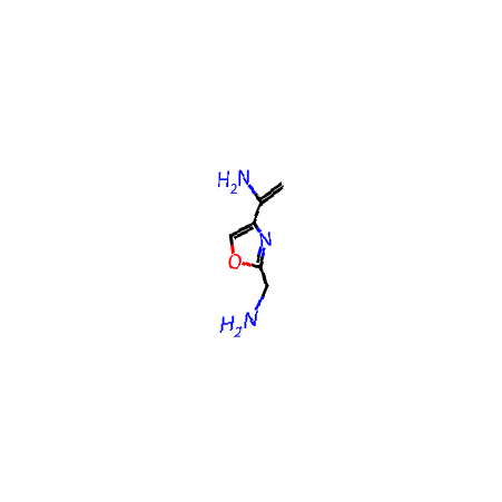 C=C(N)c1coc(CN)n1